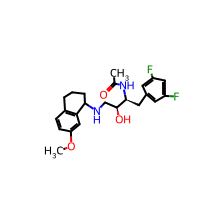 COc1ccc2c(c1)C(NC[C@H](O)[C@H](Cc1cc(F)cc(F)c1)NC(C)=O)CCC2